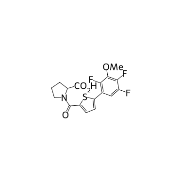 COc1c(F)c(F)cc(-c2ccc(C(=O)N3CCCC3C(=O)O)s2)c1F